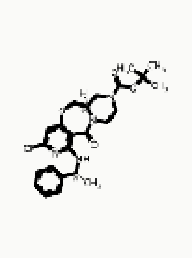 C[C@@H](Nc1nc(Cl)cc2c1C(=O)N1CCN(C(=O)OC(C)(C)C)C[C@@H]1CO2)c1ccccc1